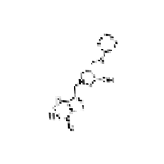 O=c1[nH]cnc2c1CC=C2CN1C[C@H](CSc2ccccc2)[C@H](O)C1